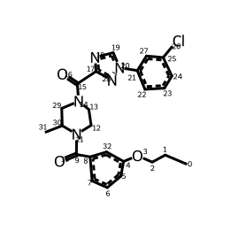 CCCOc1cccc(C(=O)N2CCN(C(=O)c3ncn(-c4cccc(Cl)c4)n3)CC2C)c1